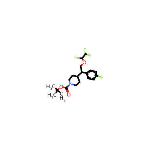 CC(C)(C)OC(=O)N1CCC(C(COC(F)C(F)F)c2ccc(F)cc2)CC1